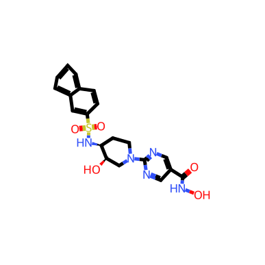 O=C(NO)c1cnc(N2CC[C@H](NS(=O)(=O)c3ccc4ccccc4c3)[C@H](O)C2)nc1